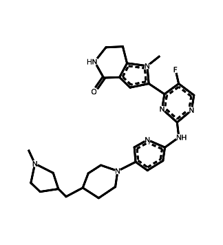 CN1CCC(CC2CCN(c3ccc(Nc4ncc(F)c(-c5cc6c(n5C)CCNC6=O)n4)nc3)CC2)C1